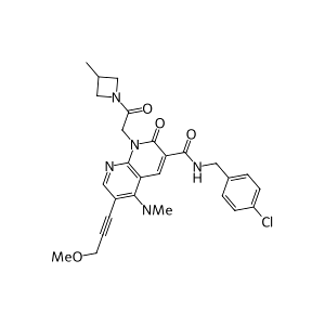 CNc1c(C#CCOC)cnc2c1cc(C(=O)NCc1ccc(Cl)cc1)c(=O)n2CC(=O)N1CC(C)C1